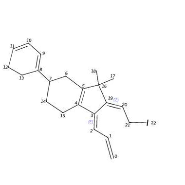 C=C/C=C1/C2=C(CC(C3=CC=CCC3)CC2)C(C)(C)/C1=C/CI